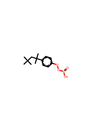 CC(C)(C)CC(C)(C)c1ccc(OOS(=O)O)cc1